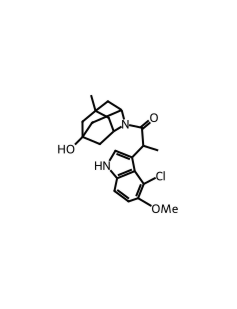 COc1ccc2[nH]cc(C(C)C(=O)N3C4CC5(C)CC3CC(O)(C4)C5)c2c1Cl